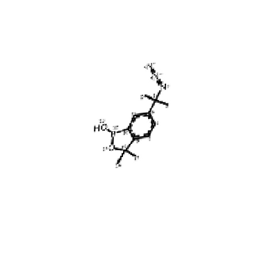 CC(C)(N=[N+]=[N-])c1ccc2c(c1)B(O)OC2(C)C